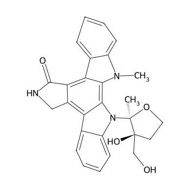 Cn1c2ccccc2c2c3c(c4c5ccccc5n([C@@]5(C)OCC[C@]5(O)CO)c4c21)CNC3=O